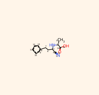 C[C@H](NC(C#N)CCc1ccccc1)C(=O)O